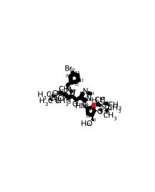 CC(C)[Si](O[C@H]1C[C@H](Nc2ncncc2C(=O)c2cc(C(C)(C)O[Si](C)(C)C)n(Cc3cccc(Br)c3)n2)C[C@@H]1CO)(C(C)C)C(C)C